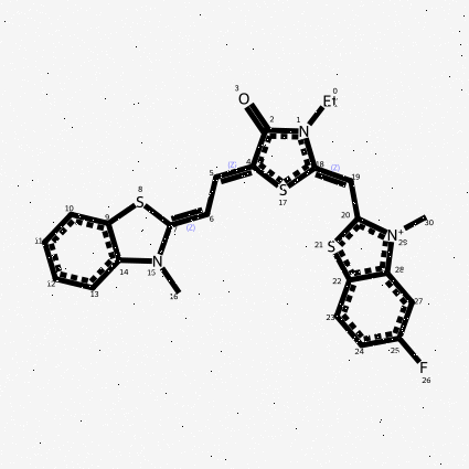 CCn1c(=O)/c(=C/C=C2\Sc3ccccc3N2C)s/c1=C\c1sc2ccc(F)cc2[n+]1C